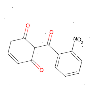 O=C1C=CCC(=O)C1C(=O)c1ccccc1[N+](=O)[O-]